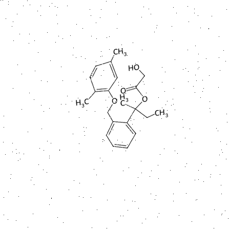 CCC(C)(OC(=O)CO)c1ccccc1COc1cc(C)ccc1C